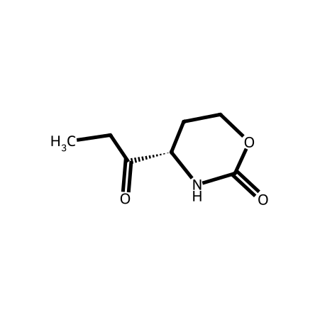 CCC(=O)[C@@H]1CCOC(=O)N1